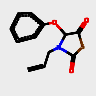 C=CCN1C(=O)SC(=O)C1Oc1ccccc1